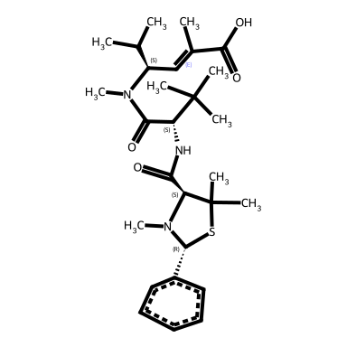 C/C(=C\[C@H](C(C)C)N(C)C(=O)[C@@H](NC(=O)[C@@H]1N(C)[C@@H](c2ccccc2)SC1(C)C)C(C)(C)C)C(=O)O